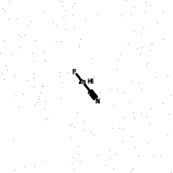 I.N#[C][Zn][F]